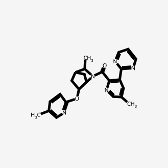 Cc1ccc(OC2CC3CC2N(C(=O)c2ncc(C)cc2-c2ncccn2)C3C)nc1